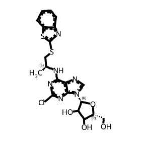 C[C@@H](CSc1nc2ccccc2s1)Nc1nc(Cl)nc2c1ncn2[C@@H]1O[C@H](CO)C(O)C1O